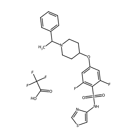 CC(c1ccccc1)N1CCC(Oc2cc(F)c(S(=O)(=O)Nc3cscn3)c(F)c2)CC1.O=C(O)C(F)(F)F